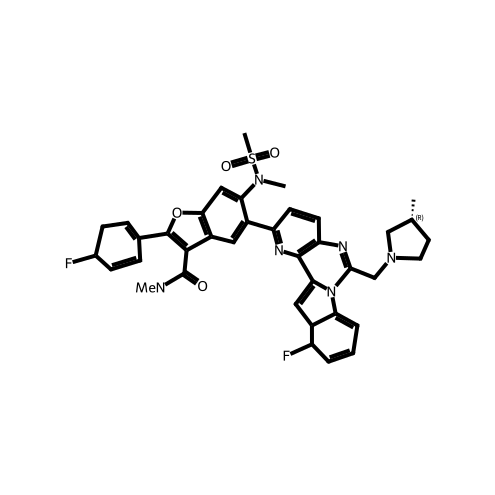 CNC(=O)c1c(C2=CCC(F)C=C2)oc2cc(N(C)S(C)(=O)=O)c(-c3ccc4c(n3)C3=CC5C(=CC=CC5F)N3C(CN3CC[C@@H](C)C3)=N4)cc12